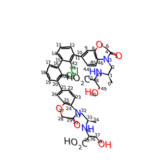 C[C@H](CN1C(=O)COc2cc(-c3cccc(-c4cccc(-c5ccc6c(c5)OCC(=O)N6C[C@@H](C)N[C@@H](CO)C(=O)O)c4Cl)c3Cl)ccc21)N[C@@H](CO)C(=O)O